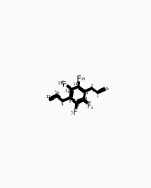 C=CCc1c(F)c(F)c(CC=C)c(F)c1F